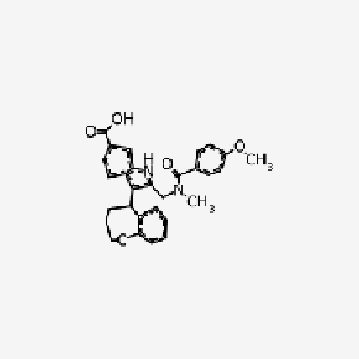 COc1ccc(C(=O)N(C)Cc2[nH]c3cc(C(=O)O)ccc3c2C2CCCCc3ccccc32)cc1